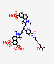 CCN1/C(=C/C=C(/C=C/C2=[N+](CC)c3ccc4c(S(=O)(=O)O)cc(S(=O)(=O)O)cc4c3C2(C)C)c2ccc(C(=O)NCCCCCC(=O)C(C)C)cn2)C(C)(C)c2c1ccc1ccc(S(=O)(=O)O)cc21